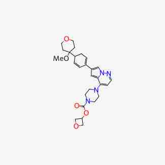 COC1(C2C=CC(c3cc4c(N5CCN(C(=O)OC6COC6)CC5)ccnn4c3)=CC2)CCOCC1